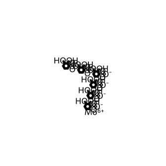 O=S(=O)([O-])c1cccc(O)c1O.O=S(=O)([O-])c1cccc(O)c1O.O=S(=O)([O-])c1cccc(O)c1O.O=S(=O)([O-])c1cccc(O)c1O.O=S(=O)([O-])c1cccc(O)c1O.O=S(=O)([O-])c1cccc(O)c1O.[Mo+6]